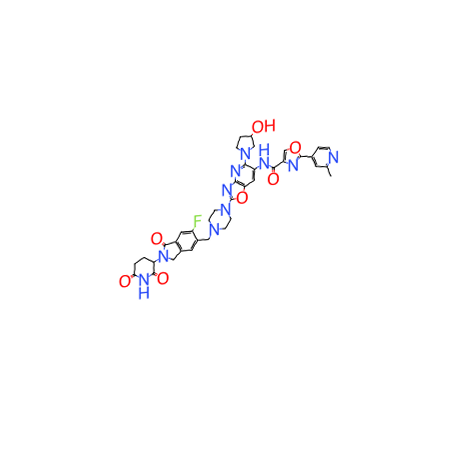 Cc1cc(-c2nc(C(=O)Nc3cc4oc(N5CCN(Cc6cc7c(cc6F)C(=O)N(C6CCC(=O)NC6=O)C7)CC5)nc4nc3N3CCC(O)C3)co2)ccn1